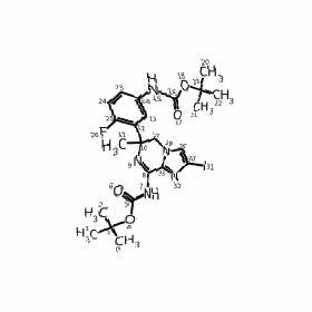 CC(C)(C)OC(=O)NC1=NC(C)(c2cc(NC(=O)OC(C)(C)C)ccc2F)Cn2cc(I)nc21